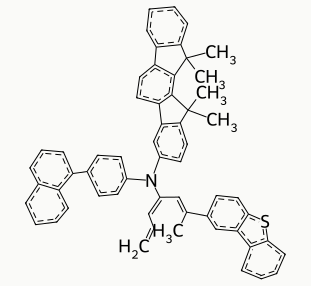 C=C/C=C(\C=C(/C)c1ccc2sc3ccccc3c2c1)N(c1ccc(-c2cccc3ccccc23)cc1)c1ccc2c(c1)-c1ccc3c(c1C2(C)C)C(C)(C)c1ccccc1-3